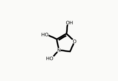 OC1=C(O)N(O)CO1